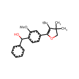 COc1cc(C2=C(C(C)(C)C)C(C)(C)CO2)ccc1C(O)c1ccccc1